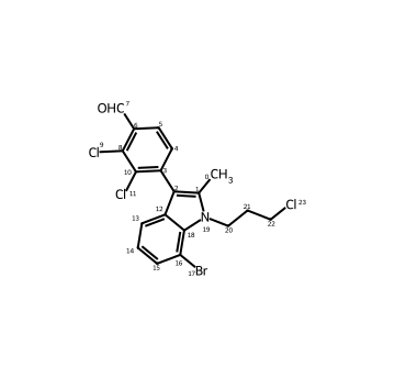 Cc1c(-c2ccc(C=O)c(Cl)c2Cl)c2cccc(Br)c2n1CCCCl